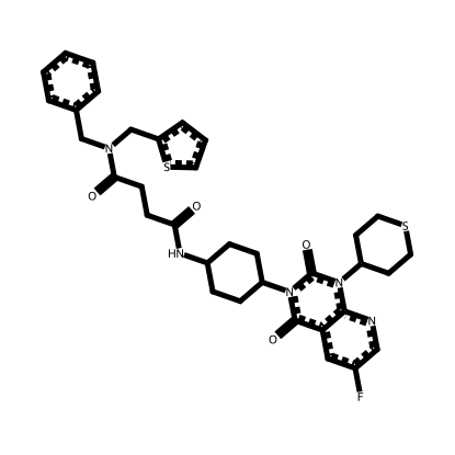 O=C(CCC(=O)N(Cc1ccccc1)Cc1cccs1)NC1CCC(n2c(=O)c3cc(F)cnc3n(C3CCSCC3)c2=O)CC1